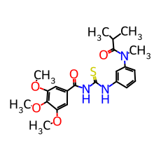 COc1cc(C(=O)NC(=S)Nc2cccc(N(C)C(=O)C(C)C)c2)cc(OC)c1OC